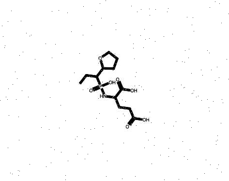 CCC(C1CCCO1)P(=O)(O)NC(CCC(=O)O)C(=O)O